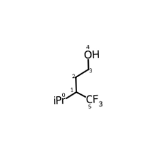 CC(C)C(CCO)C(F)(F)F